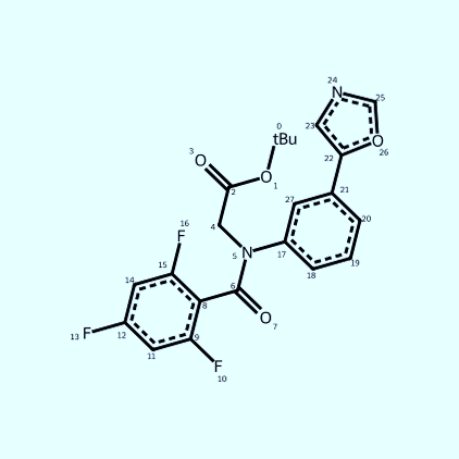 CC(C)(C)OC(=O)CN(C(=O)c1c(F)cc(F)cc1F)c1cccc(-c2cnco2)c1